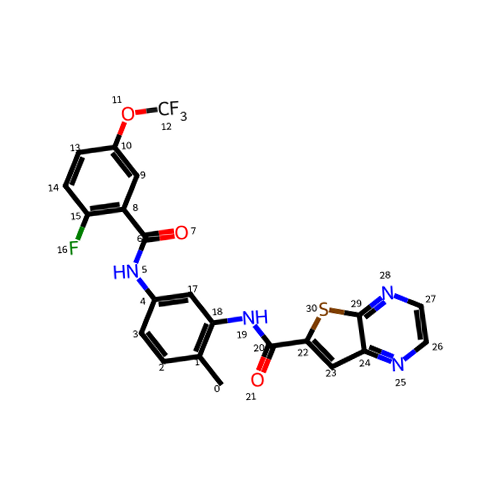 Cc1ccc(NC(=O)c2cc(OC(F)(F)F)ccc2F)cc1NC(=O)c1cc2nccnc2s1